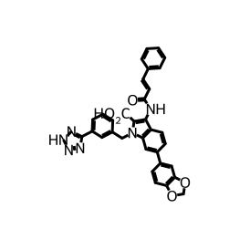 O=C(C=Cc1ccccc1)Nc1c(C(=O)O)n(Cc2cccc(-c3nn[nH]n3)c2)c2cc(-c3ccc4c(c3)OCO4)ccc12